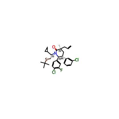 C=CC[C@@]1(C)C[C@H](c2cccc(Cl)c2)[C@@H](c2ccc(Cl)c(F)c2)N([C@H](CSC(C)(C)C)C2CC2)C1=O